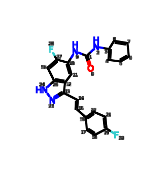 O=C(Nc1ccccc1)Nc1cc2c(/C=C/c3ccc(F)cc3)n[nH]c2cc1F